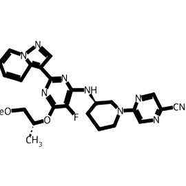 COC[C@@H](C)Oc1nc(-c2cnn3ccccc23)nc(N[C@@H]2CCCN(c3cnc(C#N)cn3)C2)c1F